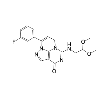 COC(CNc1nc(=O)c2cnn3c2n1CC=C3c1cccc(F)c1)OC